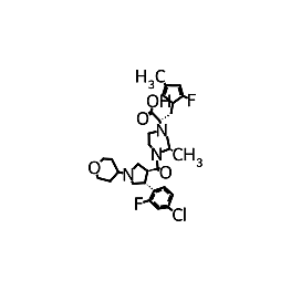 CC1=CC(C[C@@H](C(=O)O)N2CCN(C(=O)[C@@H]3CN(C4CCOCC4)C[C@H]3c3ccc(Cl)cc3F)[C@@H](C)C2)C(F)=C1